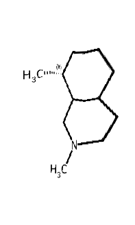 C[C@@H]1CCCC2CCN(C)CC21